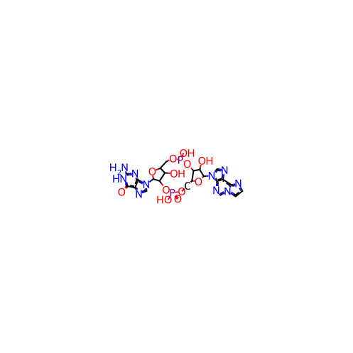 Nc1nc2c(ncn2C2OC3COP(O)OC4C(COP(=O)(O)OC2C3O)OC(n2cnc3c2ncn2ccnc32)C4O)c(=O)[nH]1